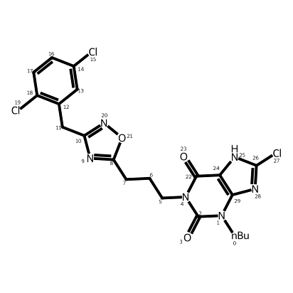 CCCCn1c(=O)n(CCCc2nc(Cc3cc(Cl)ccc3Cl)no2)c(=O)c2[nH]c(Cl)nc21